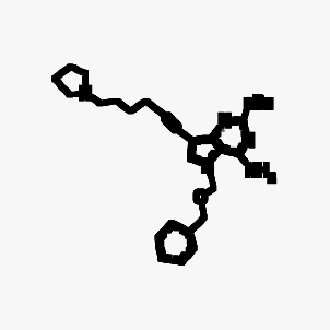 CCCCc1nc(N)c2c(n1)c(C#CCCCCN1CCCC1)cn2COCc1ccccc1